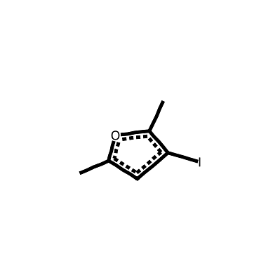 Cc1cc(I)c(C)o1